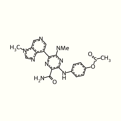 CNc1nc(Nc2ccc(OS(C)=O)cc2)c(C(N)=O)nc1-c1cncc2c1ncn2C